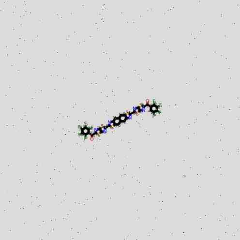 O=C(c1nc2sc(-c3nc4cc5cc6sc(-c7nc8sc(C(=O)c9c(F)c(F)c(F)c(F)c9F)nc8s7)nc6cc5cc4s3)nc2s1)c1cc(F)c(F)c(F)c1F